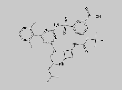 Cc1cccc(C)c1-c1cc(OCC(CC(C)C)NC2CC(NC(=O)OC(C)(C)C)C2)nc(NS(=O)(=O)c2cccc(C(=O)O)c2)n1